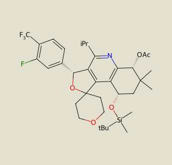 CC(=O)O[C@H]1c2nc(C(C)C)c3c(c2[C@@H](O[Si](C)(C)C(C)(C)C)CC1(C)C)C1(CCOCC1)O[C@@H]3c1ccc(C(F)(F)F)c(F)c1